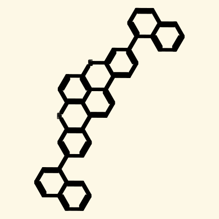 c1ccc2c(-c3ccc4c(c3)Sc3ccc5c6c(ccc-4c36)-c3ccc(-c4cccc6ccccc46)cc3S5)cccc2c1